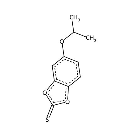 CC(C)Oc1ccc2oc(=S)oc2c1